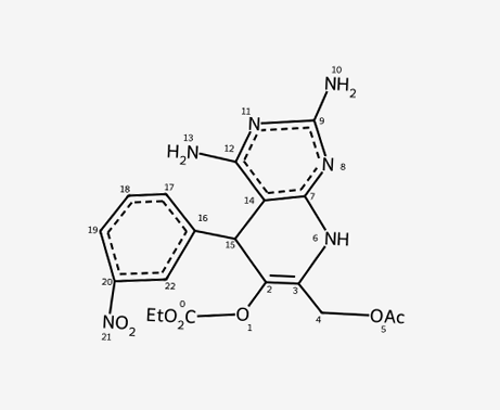 CCOC(=O)OC1=C(COC(C)=O)Nc2nc(N)nc(N)c2C1c1cccc([N+](=O)[O-])c1